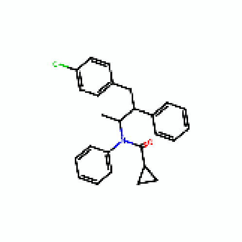 CC(C(Cc1ccc(Cl)cc1)c1ccccc1)N(C(=O)C1CC1)c1ccccc1